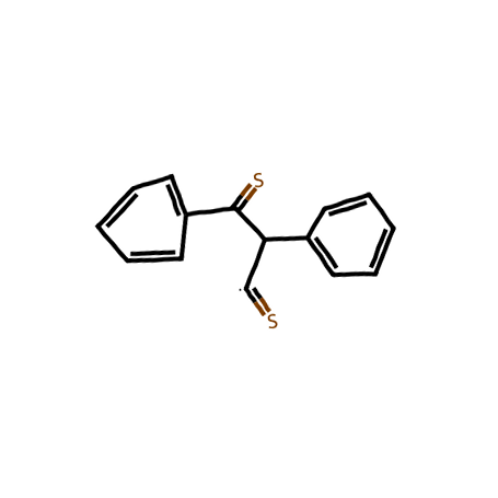 S=[C]C(C(=S)c1ccccc1)c1ccccc1